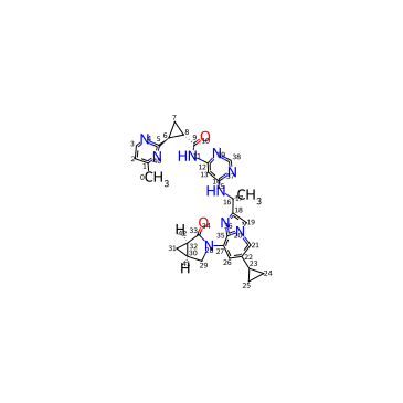 Cc1ccnc([C@H]2C[C@@H]2C(=O)Nc2cc(N[C@H](C)c3cn4cc(C5CC5)cc(N5C[C@H]6C[C@H]6C5=O)c4n3)ncn2)n1